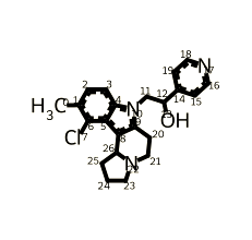 Cc1ccc2c(c1Cl)c1c(n2CC(O)c2ccncc2)CCN2CCCC12